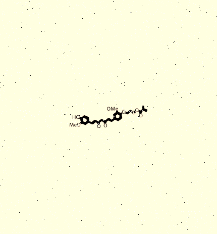 C=C(C)C(=O)OOCCOc1ccc(C=CC(=O)CC(=O)C=Cc2ccc(O)c(OC)c2)cc1OC